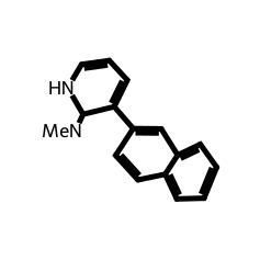 CNC1NC=CC=C1c1ccc2ccccc2c1